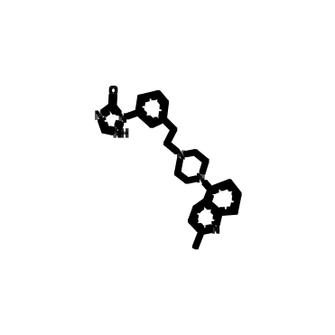 Cc1ccc2c(N3CCN(CCc4cccc(-n5[nH]cnc5=O)c4)CC3)cccc2n1